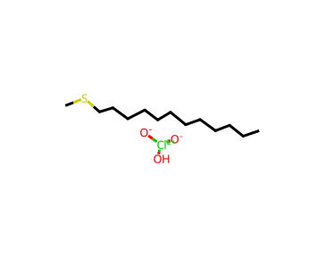 CCCCCCCCCCCCSC.[O-][Cl+2]([O-])O